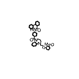 COc1ccccc1OCCN1CCCN(C(=O)c2ccc(NC(=O)c3ccccc3-c3ccccc3)cc2)c2ccccc21